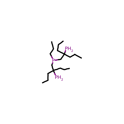 CCCP(CC(P)(CCC)CCC)CC(P)(CCC)CCC